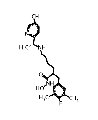 Cc1ccc([C@@H](C)NCCCC[C@@H](Cc2cc(C)c(F)c(C)c2)C(=O)NO)nc1